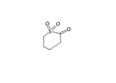 O=C1CCCCS1(=O)=O